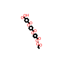 C=CC(=O)OCOC(=O)c1ccc(OC(=O)C2CCC(OC(=O)C3CCC(C(=O)O)CC3)CC2)cc1